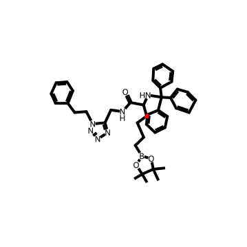 CC1(C)OB(CCCCC(NC(c2ccccc2)(c2ccccc2)c2ccccc2)C(=O)NCc2nnnn2CCc2ccccc2)OC1(C)C